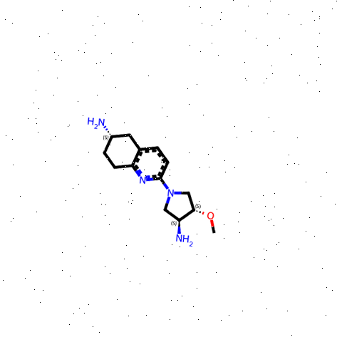 CO[C@H]1CN(c2ccc3c(n2)CC[C@H](N)C3)C[C@@H]1N